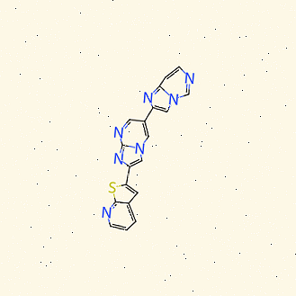 c1cnc2sc(-c3cn4cc(-c5cn6cnccc6n5)cnc4n3)cc2c1